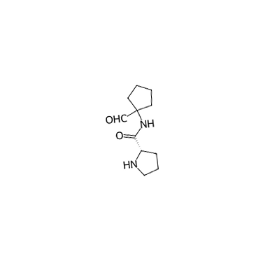 O=CC1(NC(=O)[C@@H]2CCCN2)CCCC1